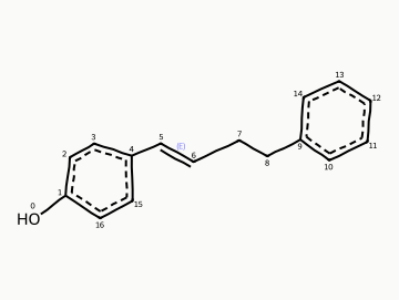 Oc1ccc(/C=C/CCc2ccccc2)cc1